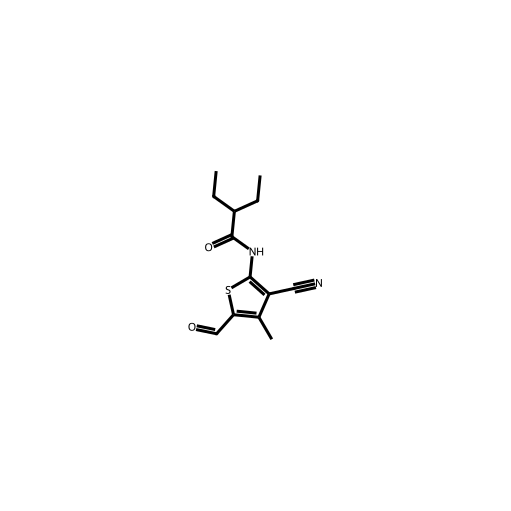 CCC(CC)C(=O)Nc1sc(C=O)c(C)c1C#N